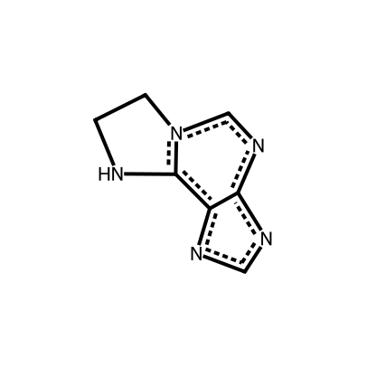 c1nc2ncn3c(c-2n1)NCC3